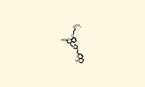 COCCCOc1cccc(C(CC(=O)O)CN2CC[C@@H](CCc3ccc4c(n3)NCCC4)C2)c1